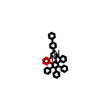 C1=CC(c2c(-c3ccccc3C3=NC(c4ccc(-c5ccccc5)cc4)CC(c4ccccc4)=N3)cc(-c3ccccc3)c(-c3ccccc3)c2-c2ccccc2)=CCC1